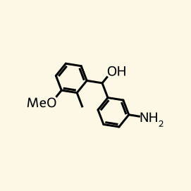 COc1cccc(C(O)c2cccc(N)c2)c1C